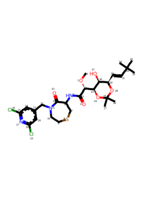 CO[C@@H](C(=O)NC1CSCCN(Cc2cc(Cl)nc(Cl)c2)C1=O)[C@@H]1OC(C)(C)O[C@H](C=CC(C)(C)C)[C@@H]1O